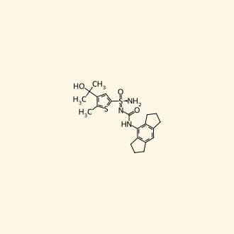 Cc1sc([S@](N)(=O)=NC(=O)Nc2c3c(cc4c2CCC4)CCC3)cc1C(C)(C)O